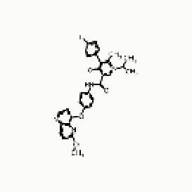 COc1ccc2nccc(Oc3ccc(NC(=O)c4cn(C(C)C)c(C)c(-c5ccc(F)cc5)c4=O)cc3)c2n1